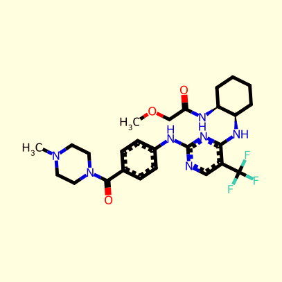 COCC(=O)N[C@H]1CCCC[C@H]1Nc1nc(Nc2ccc(C(=O)N3CCN(C)CC3)cc2)ncc1C(F)(F)F